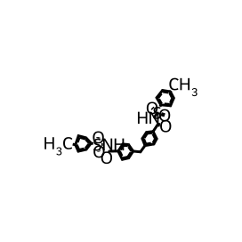 Cc1ccc(S(=O)(=O)NC(=O)c2ccc(Cc3ccc(C(=O)NS(=O)(=O)c4ccc(C)cc4)cc3)cc2)cc1